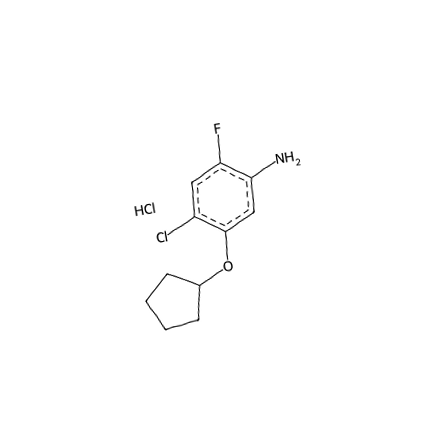 Cl.Nc1cc(OC2CCCC2)c(Cl)cc1F